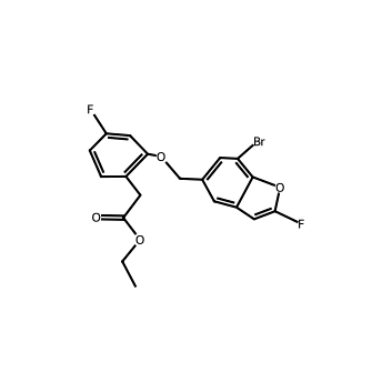 CCOC(=O)Cc1ccc(F)cc1OCc1cc(Br)c2oc(F)cc2c1